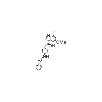 COc1cc(F)c2nccc([C@@H](O)CN3CCC(NCCOc4ccccn4)CC3)c2c1